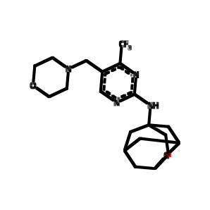 FC(F)(F)c1nc(NC23CCC4CC(CC(C4)C2)C3)ncc1CN1CCOCC1